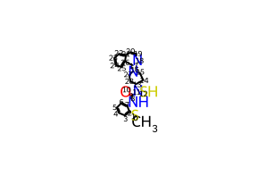 CSc1ccccc1NC(=O)N(S)C1CCN(c2nccc3ccccc23)CC1